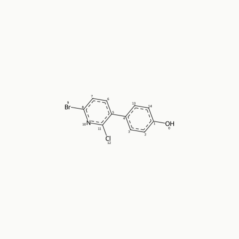 Oc1ccc(-c2ccc(Br)nc2Cl)cc1